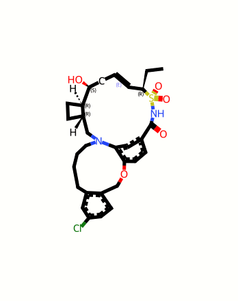 CC[C@@H]1/C=C/C[C@H](O)[C@@H]2CC[C@H]2CN2CCCCc3cc(Cl)ccc3COc3ccc(cc32)C(=O)NS1(=O)=O